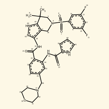 CC1(C)CN(S(=O)(=O)c2cc(F)cc(F)c2)Cc2c(NC(=O)c3ccc(CN4CCOCC4)cc3NC(=O)c3ccc[nH]3)n[nH]c21